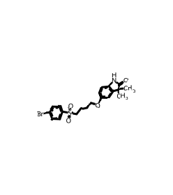 CC1(C)C(=O)Nc2ccc(OCCCCS(=O)(=O)c3ccc(Br)cc3)cc21